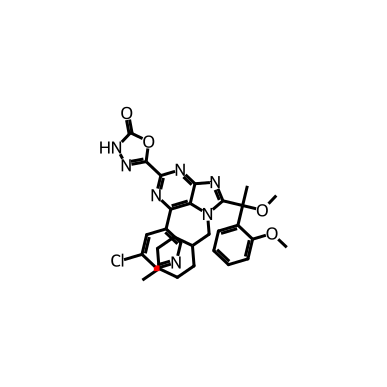 COc1ccccc1C(C)(OC)c1nc2nc(-c3n[nH]c(=O)o3)nc(-c3cncc(Cl)c3)c2n1CC1CCC(C)CC1